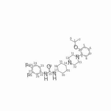 CC(C)Oc1ccccc1N1CCN([C@H]2CC[C@@H](NC(=O)Nc3ccc(F)c(F)c3)CC2)CC1